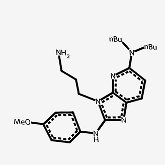 CCCCN(CCCC)c1ccc2nc(Nc3ccc(OC)cc3)n(CCCN)c2n1